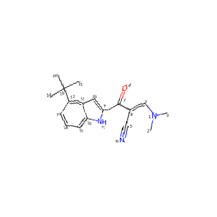 CN(C)/C=C(\C#N)C(=O)c1cc2c(C(C)(C)C)cccc2[nH]1